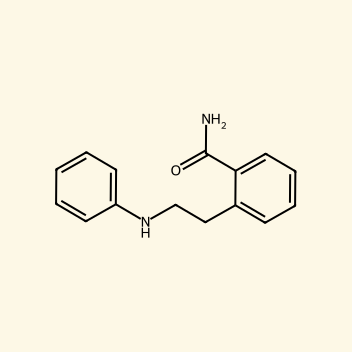 NC(=O)c1ccccc1CCNc1ccccc1